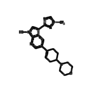 FC(F)(F)c1csc(-c2cn(S)c3ncc(C4=CCC(N5CCOCC5)CC4)cc23)n1